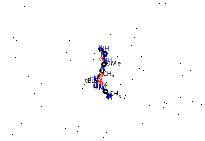 COc1cc(N2CC[C@@H](OCC(=O)N[C@H](C(=O)N3CCC[C@H]3C(=O)N[C@@H](CF)c3ccc(-c4ccnn4C)cc3)C(C)(C)C)[C@@H](C)C2)ccc1NC(=O)c1cccc(-c2ccn[nH]2)n1